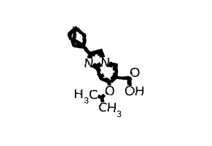 CC(C)Oc1cc2nc(C34CCC(C3)C4)cn2cc1C(=O)O